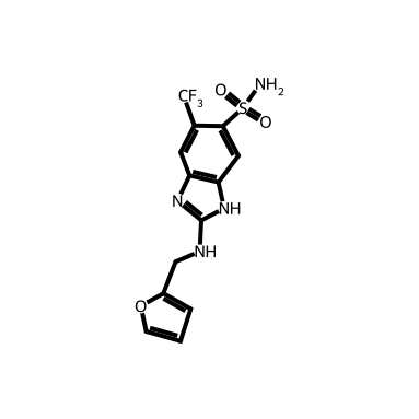 NS(=O)(=O)c1cc2[nH]c(NCc3ccco3)nc2cc1C(F)(F)F